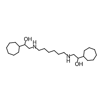 OC(CNCCCCCCNCC(O)C1CCCCCC1)C1CCCCCC1